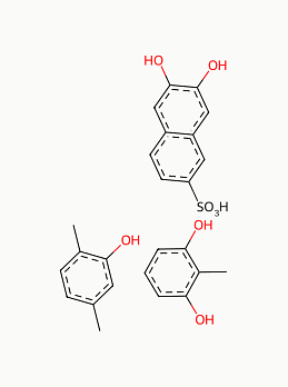 Cc1c(O)cccc1O.Cc1ccc(C)c(O)c1.O=S(=O)(O)c1ccc2cc(O)c(O)cc2c1